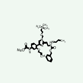 C=CCNN(CCc1nc(-c2ccc(NC(=O)OC)cc2OCC=C)cn1COCC[Si](C)(C)C)C(=O)OCc1ccccc1